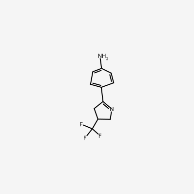 Nc1ccc(C2=NCC(C(F)(F)F)C2)cc1